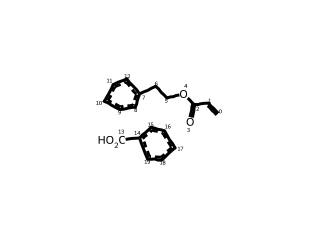 C=CC(=O)OCCc1ccccc1.O=C(O)c1ccccc1